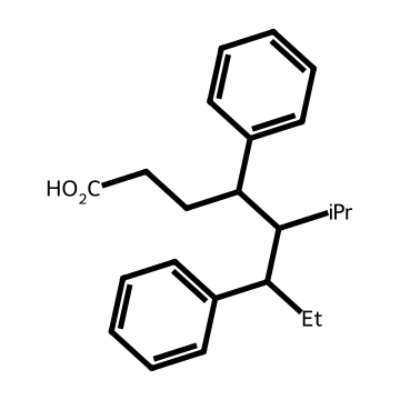 CCC(c1ccccc1)C(C(C)C)C(CCC(=O)O)c1ccccc1